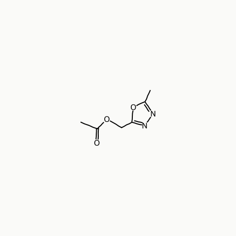 CC(=O)OCc1nnc(C)o1